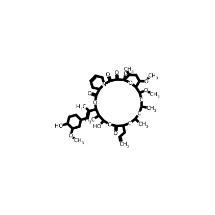 C=CCC1CC(C)CC(C)CC(OC)C2OC(O)(C(=O)C(=O)N3CC=CCC3C(=O)OC(C(C)=CC3CCC(O)C(OC)C3)C(C)C(O)CC1=O)C(C)CC2OC